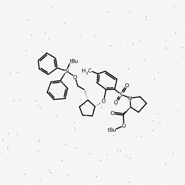 Cc1ccc(S(=O)(=O)N2CCC[C@H]2C(=O)OC(C)(C)C)c(O[C@@H]2CCC[C@@H]2CCO[Si](c2ccccc2)(c2ccccc2)C(C)(C)C)c1